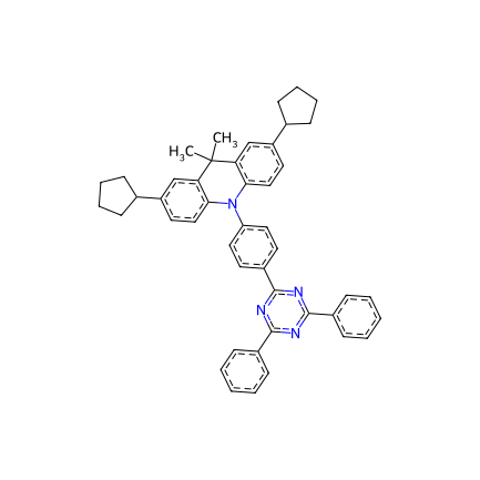 CC1(C)c2cc(C3CCCC3)ccc2N(c2ccc(-c3nc(-c4ccccc4)nc(-c4ccccc4)n3)cc2)c2ccc(C3CCCC3)cc21